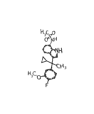 COc1cc(C(C)(c2c[nH]c3c(NS(C)(=O)=O)cccc23)C2CC2)ccc1F